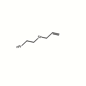 C=CC[Se]CCCCC